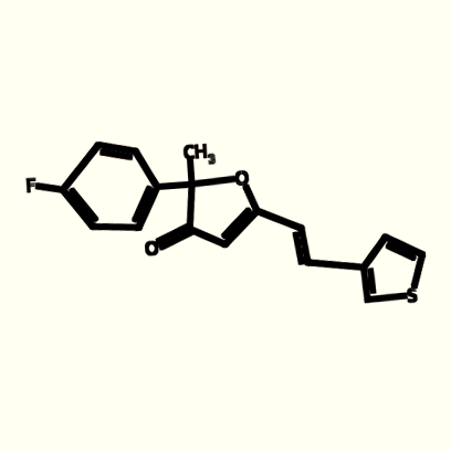 CC1(c2ccc(F)cc2)OC(/C=C/c2ccsc2)=CC1=O